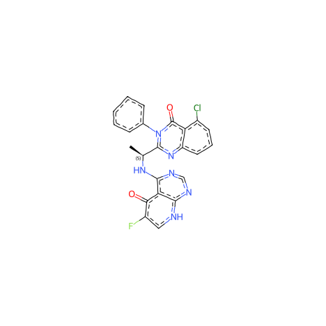 C[C@H](Nc1ncnc2[nH]cc(F)c(=O)c12)c1nc2cccc(Cl)c2c(=O)n1-c1ccccc1